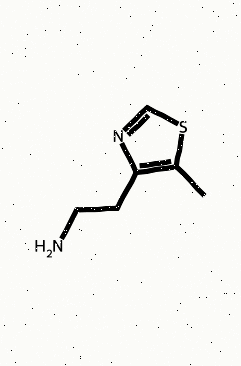 Cc1scnc1CCN